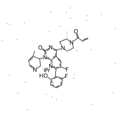 C=CC(=O)N1[C@H](C)CN(c2nc(=O)n(C3C(C)=CC=N[C@H]3C(C)C)c3nc(-c4c(O)cccc4F)c(F)cc23)C[C@@H]1C